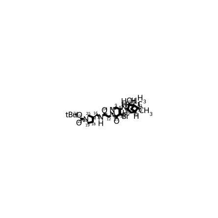 C[C@@H]1[C@H]2C[C@@H](C[C@H]1Nc1cnn(CC(=O)NC[C@H]3CCN(C(=O)OC(C)(C)C)C3)c(=O)c1Br)C2(C)C